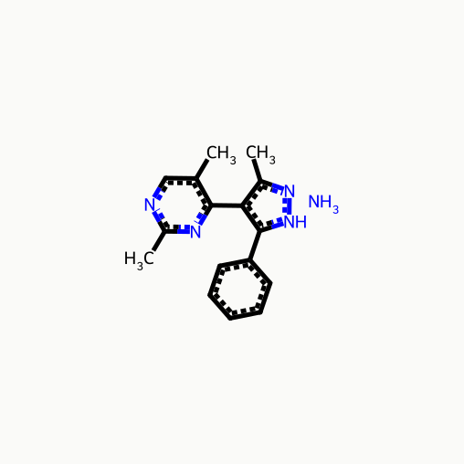 Cc1ncc(C)c(-c2c(C)n[nH]c2-c2ccccc2)n1.N